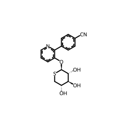 N#Cc1ccc(-c2ncccc2O[C@@H]2SC[C@@H](O)[C@H](O)[C@H]2O)cc1